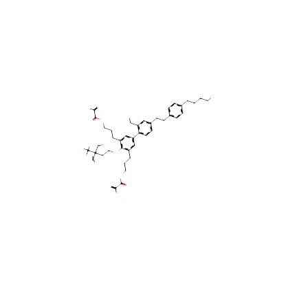 C=C(C)C(=O)OCCCc1cc(-c2ccc(CCc3ccc(CCCCC)cc3)cc2CC)cc(CCCOC(=O)C(=C)C)c1OCCC(CO)(CO)C(C)(C)C